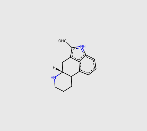 O=Cc1[nH]c2cccc3c2c1C[C@H]1NCCCC31